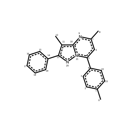 Cc1ccc(-c2cc(C)nc3c(C)c(-c4ccccc4)nn23)cc1